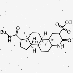 CC(C)(C)NC(=O)C1CC[C@H]2[C@@H]3CCC4NC(=O)C(S(=O)(=O)C(Cl)(Cl)Cl)C[C@]4(C)[C@@H]3CC[C@]12C